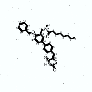 CCCCCCCC(=O)N(C)Cc1cc(-c2ccc(C=C3SC(=O)NC3=O)cc2)ccc1OCc1ccccc1